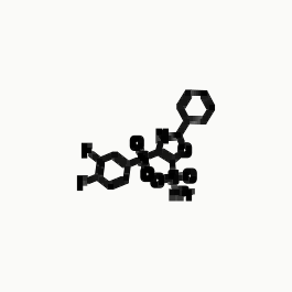 CCCS(=O)(=O)c1oc(-c2ccccc2)nc1S(=O)(=O)c1ccc(F)c(F)c1